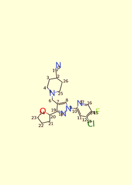 N#CC1CCN(Cc2cn(-c3cc(Cl)c(F)cn3)nc2C2CCCO2)CC1